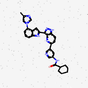 Cc1cn(-c2cccc3[nH]c(-c4n[nH]c5ccc(-c6cncc(NC(=O)C7CCCCC7)c6)nc45)cc23)cn1